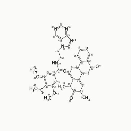 CC1C=c2c(ccc3c2=CC(=O)c2ccccc2-3)C(C)C1=O.COc1cc(C(=O)NCCn2cnc3ncncc32)cc(OC)c1OC